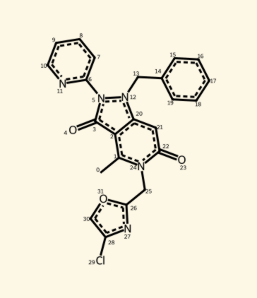 Cc1c2c(=O)n(-c3ccccn3)n(Cc3ccccc3)c2cc(=O)n1Cc1nc(Cl)co1